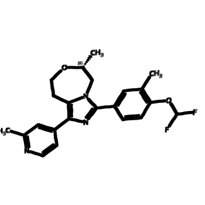 Cc1cc(-c2nc(-c3ccc(OC(F)F)c(C)c3)n3c2CCO[C@H](C)C3)ccn1